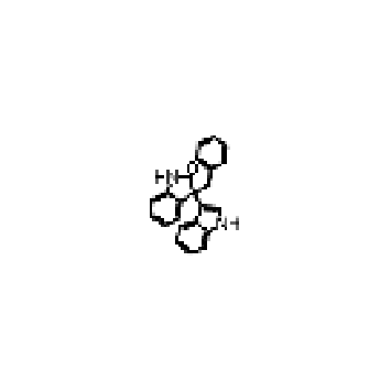 O=C1Nc2ccccc2C1(Cc1ccccc1)c1c[nH]c2ccccc12